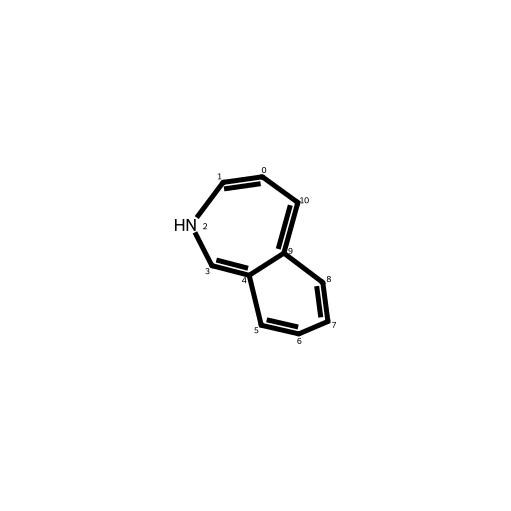 C1=CNC=c2ccccc2=C1